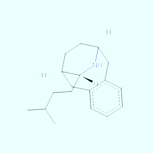 CC(C)CC[C@H]1N[C@H]2CC[C@@H]1Cc1ccccc1C2